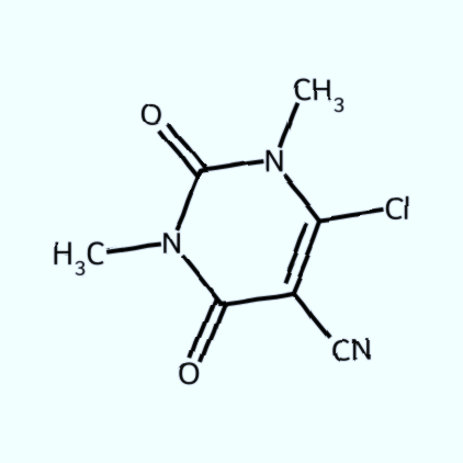 Cn1c(Cl)c(C#N)c(=O)n(C)c1=O